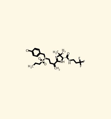 C=C(CCN(Cc1ccc(Cl)cc1)S(=O)(=O)CCC)C1=NC(C)(C)[C@H](C(=O)NCCC(F)(F)F)N1